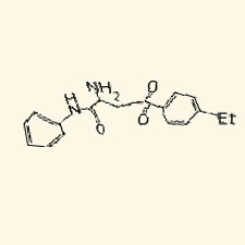 CCc1ccc(S(=O)(=O)CCC(N)C(=O)Nc2ccccc2)cc1